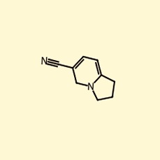 N#CC1=CC=C2CCCN2C1